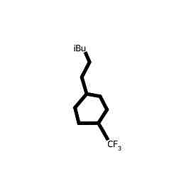 CCC(C)CCC1CCC(C(F)(F)F)CC1